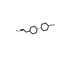 C=CCC1CCC([C@H]2CC[C@H](O)CC2)CC1